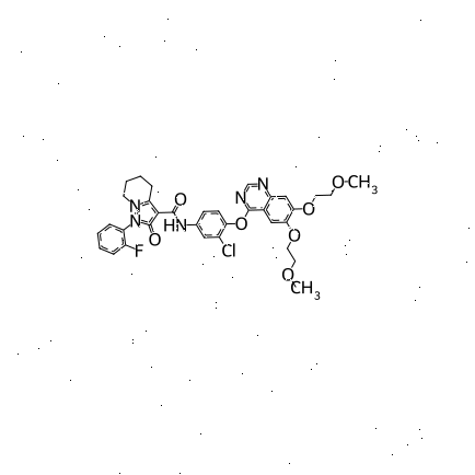 COCCOc1cc2ncnc(Oc3ccc(NC(=O)c4c5n(n(-c6ccccc6F)c4=O)CCCC5)cc3Cl)c2cc1OCCOC